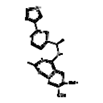 COc1cc2nc(C)nc(N[C@H](C)c3cccc(-c4c[nH]cn4)c3)c2cc1OC